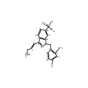 OC/C=C/c1nn(Cc2ccc(F)cc2F)c2cc(C(F)(F)F)ccc12